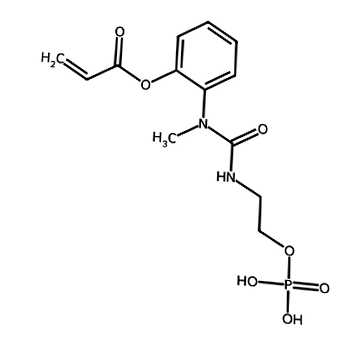 C=CC(=O)Oc1ccccc1N(C)C(=O)NCCOP(=O)(O)O